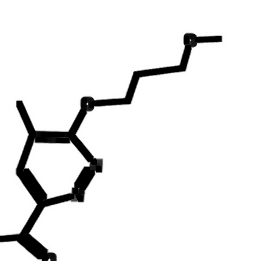 COCCCOc1nnc(C(=O)OC)cc1C